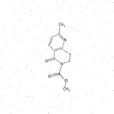 COC(=O)N1CCc2nc(C)ccc2C1=O